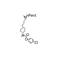 CCCCCN(C)CCCC[C@H]1CC[C@H](N(C)C(=O)Oc2ccc(Cl)cc2)CC1